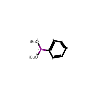 CC(C)COP(OCC(C)C)c1ccccc1